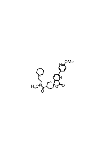 COc1ccc(-c2ccc3c(n2)C(=O)O[C@]32CC[C@H](C(=O)N(C)CCN3CCCCC3)CC2)cn1